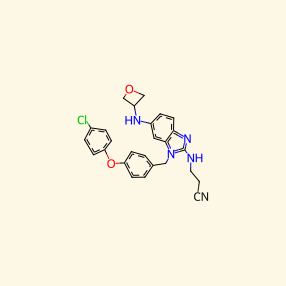 N#CCCNc1nc2ccc(NC3COC3)cc2n1Cc1ccc(Oc2ccc(Cl)cc2)cc1